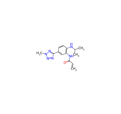 C=CC(=O)Nc1cc(-c2nnn(C)n2)ccc1NC(C)C